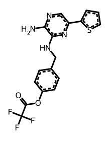 Nc1ncc(-c2cccs2)nc1NCc1ccc(OC(=O)C(F)(F)F)cc1